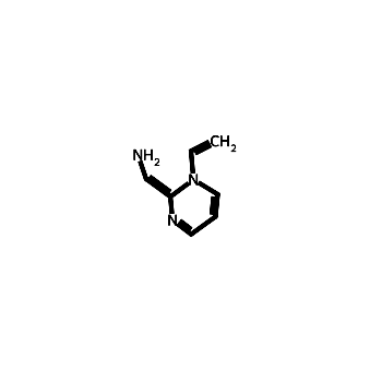 C=CN1C=CC=N/C1=C/N